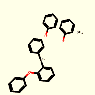 [O-]c1ccccc1.[O-]c1ccccc1.[SiH4].c1ccc(Oc2cccc[c]2[Ti+2][c]2ccccc2)cc1